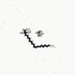 CCCCCCCC/C=C\CCCCCCCCC(O)(O)C(C)=O.O=P(O)(O)O